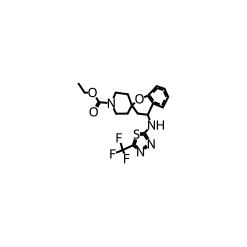 CCOC(=O)N1CCC2(CC1)CC(Nc1nnc(C(F)(F)F)s1)c1ccccc1O2